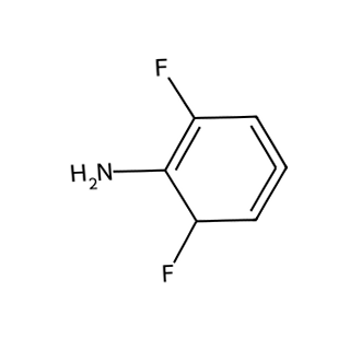 NC1=C(F)C=C=CC1F